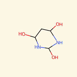 OC1CC(O)NC(O)N1